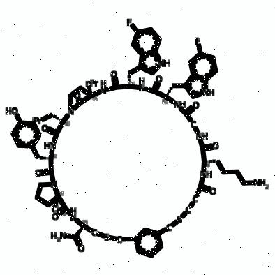 CCC[C@]12CCN(C1=O)[C@@H](CC(C)C)C(=O)N[C@@H](Cc1ccc(O)cc1)C(=O)N1CCC[C@@]1(C)C(=O)N[C@H](C(N)=O)CSCc1cccc(c1)CSCCC(=O)N[C@@H](CCCCN)C(=O)NCC(=O)N[C@@H](Cc1c[nH]c3ccc(F)cc13)C(=O)N[C@@H](Cc1c[nH]c3ccc(F)cc13)C(=O)N2